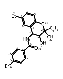 CCc1ccc2c(c1)C(NC(=O)c1ccc(Br)cc1)C(O)C(C)(C)O2